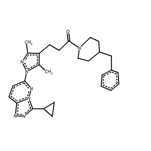 Cc1nn(-c2ccc3nnc(C4CC4)n3n2)c(C)c1CCC(=O)N1CCC(Cc2ccccc2)CC1